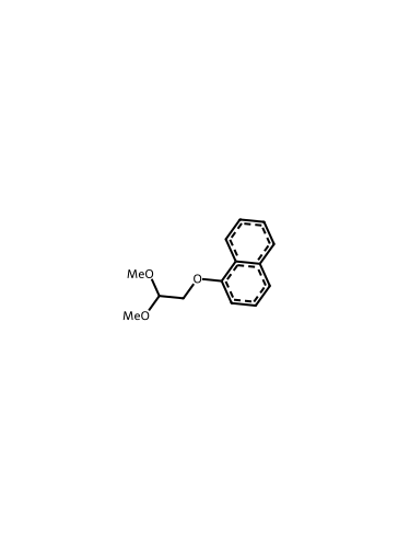 COC(COc1cccc2ccccc12)OC